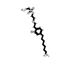 CCCCCCCCc1ccc(CCOCCOS(=O)(=O)CC)cc1.[NaH]